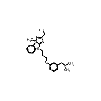 CN(C)Cc1cccc(OCCCNC2=NC(CO)=N[N+]2(C)c2ccccc2)c1